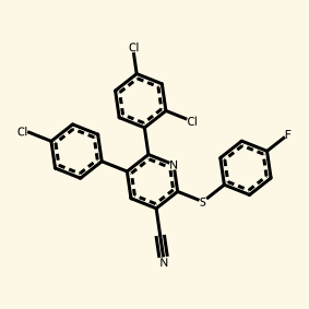 N#Cc1cc(-c2ccc(Cl)cc2)c(-c2ccc(Cl)cc2Cl)nc1Sc1ccc(F)cc1